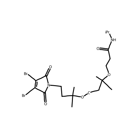 CC(C)NC(=O)CCOC(C)(C)CCOC(C)(C)CCN1C(=O)C(Br)=C(Br)C1=O